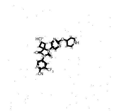 Cl.N#Cc1ncc(N2C(=O)C3(CCC3)N(c3cnc(OC4CCNCC4)nc3)C2=S)cc1C(F)(F)F